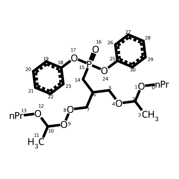 CCCOC(C)OCC(COOC(C)OCCC)CP(=O)(Oc1ccccc1)Oc1ccccc1